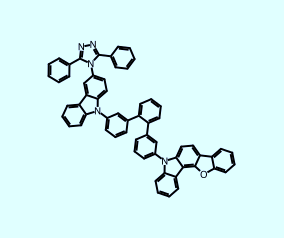 c1ccc(-c2nnc(-c3ccccc3)n2-c2ccc3c(c2)c2ccccc2n3-c2cccc(-c3ccccc3-c3cccc(-n4c5ccccc5c5c6oc7ccccc7c6ccc54)c3)c2)cc1